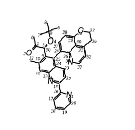 CC(=O)[C@@H](OC(C)(C)C)c1c(C)cc2nc(-c3ccccn3)ccc2c1-c1ccc2c3c(ccnc13)CCO2